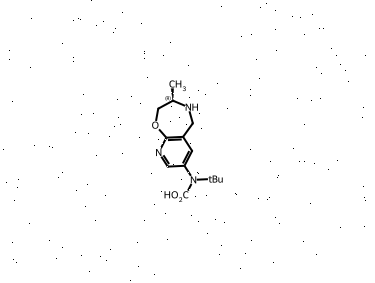 C[C@@H]1COc2ncc(N(C(=O)O)C(C)(C)C)cc2CN1